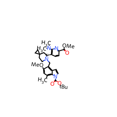 COC(=O)c1ccc([C@@H]2CC3(CCN2Cc2c(OC)cc(C)c4c2ccn4C(=O)OC(C)(C)C)CC3)c(N(C)C)n1